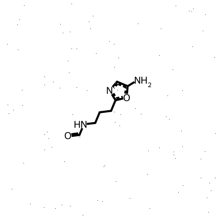 Nc1cnc(CCCNC=O)o1